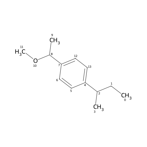 CCC(C)c1ccc(C(C)OC)cc1